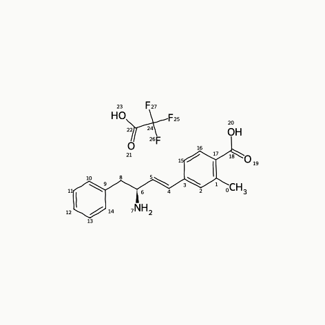 Cc1cc(C=C[C@@H](N)Cc2ccccc2)ccc1C(=O)O.O=C(O)C(F)(F)F